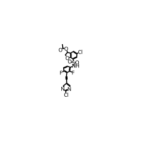 CC(=O)OC1COc2c1cc(Cl)cc2S(=O)(=O)Nc1ccc(F)c(C#Cc2cnc(Cl)nc2)c1F